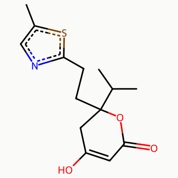 Cc1cnc(CCC2(C(C)C)CC(O)=CC(=O)O2)s1